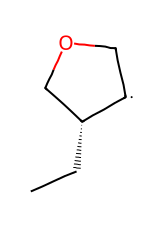 CC[C@H]1[CH]COC1